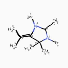 CCN1C(C)N(C(C)C)C(=C(C)C)C1(C)C